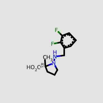 C[C@]1(C(=O)O)CCCN1NCc1cccc(F)c1F